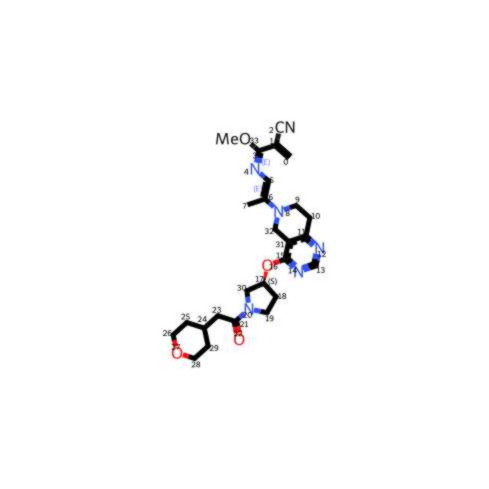 C=C(C#N)/C(=N\C=C(/C)N1CCc2ncnc(O[C@H]3CCN(C(=O)CC4CCOCC4)C3)c2C1)OC